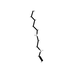 C=CSCCCCCCCC